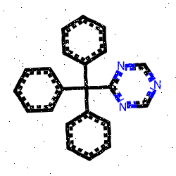 c1ccc(C(c2ccccc2)(c2ccccc2)c2ncncn2)cc1